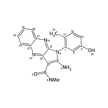 CNC(=O)c1c(N)n(-c2cc(O)ccc2C)c2nc3ccccc3nc12